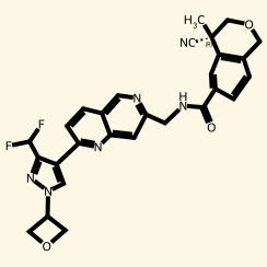 C[C@@]1(C#N)COCc2ccc(C(=O)NCc3cc4nc(-c5cn(C6COC6)nc5C(F)F)ccc4cn3)cc21